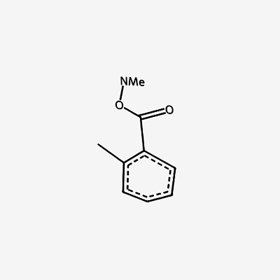 CNOC(=O)c1ccccc1C